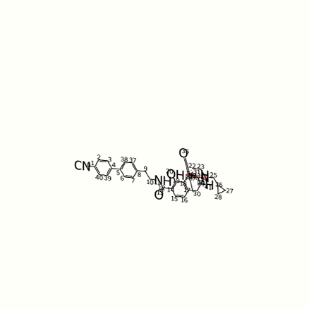 [C-]#[N+]c1ccc(-c2ccc(CCNC(=O)c3ccc4c(c3O)[C@]35CCN(CC6CC6)[C@H](C4)[C@@H]3CCC(=O)C5)cc2)cc1